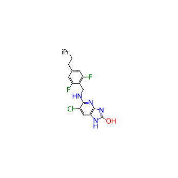 CC(C)CCc1cc(F)c(CNc2nc3nc(O)[nH]c3cc2Cl)c(F)c1